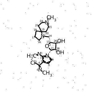 C=Nc1c(/C(Cl)=N\C)ccn1[C@@H]1O[C@H](CN2CCCC23CCN(C)CC3)[C@@H](O)[C@H]1O